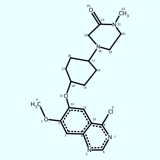 COc1cc2ncnc(Cl)c2cc1OC1CCC(N2CCN(C)C(=O)C2)CC1